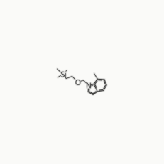 Cc1cccc2ccn(COCC[Si](C)(C)C)c12